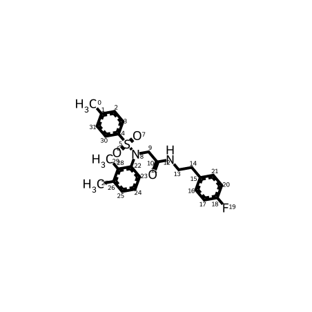 Cc1ccc(S(=O)(=O)N(CC(=O)NCCc2ccc(F)cc2)c2cccc(C)c2C)cc1